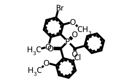 COc1cccc(Cl)c1C(=O)P(=O)(C(=O)c1ccccc1)c1c(OC)ccc(Br)c1OC